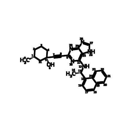 C[C@@H]1CCC[C@@](O)(C#Cc2nc(N[C@@H](C)c3cccc4ccccc34)c3[nH]cnc3n2)C1